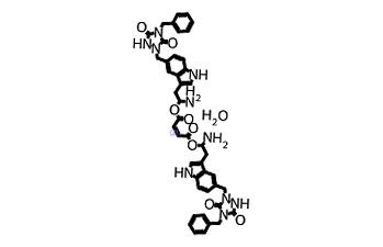 NC(Cc1c[nH]c2ccc(Cn3[nH]c(=O)n(Cc4ccccc4)c3=O)cc12)OC(=O)/C=C\C(=O)OC(N)Cc1c[nH]c2ccc(Cn3[nH]c(=O)n(Cc4ccccc4)c3=O)cc12.O